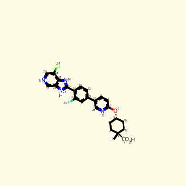 C[C@]1(C(=O)O)CC[C@H](Oc2ccc(-c3ccc(-c4nc5c(Cl)cncc5[nH]4)c(F)c3)cn2)CC1